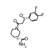 NC(=O)[C@@H]1CCCN(C(=O)C[S+]([O-])c2ccc(F)c(F)c2)C1